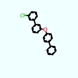 Clc1cccc(-c2cccc(Oc3ccc(-c4[c]cccc4)cc3)c2)c1